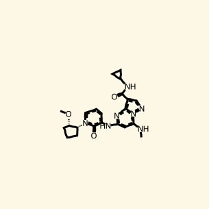 CNc1cc(Nc2cccn([C@@H]3CCC[C@@H]3OC)c2=O)nc2c(C(=O)NC3CC3)cnn12